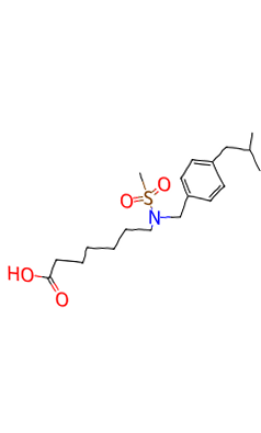 CC(C)Cc1ccc(CN(CCCCCCC(=O)O)S(C)(=O)=O)cc1